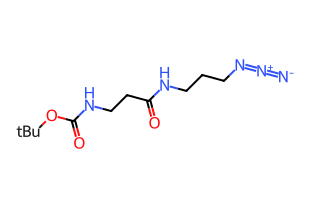 CC(C)(C)OC(=O)NCCC(=O)NCCCN=[N+]=[N-]